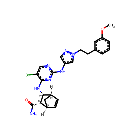 COc1cccc(CCn2cc(Nc3ncc(Br)c(N[C@H]4[C@@H](C(N)=O)[C@@H]5C=C[C@H]4C5)n3)cn2)c1